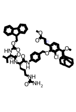 COC(=O)/C=C/c1ccc(C(OC)=C2C3CC4CC(C3)CC2C4)c(Cl)c1OCc1ccc(NC(=O)[C@@H](CCCNC(N)=O)NC(=O)[C@@H](NC(=O)OCC2c3ccccc3-c3ccccc32)C(C)C)cc1